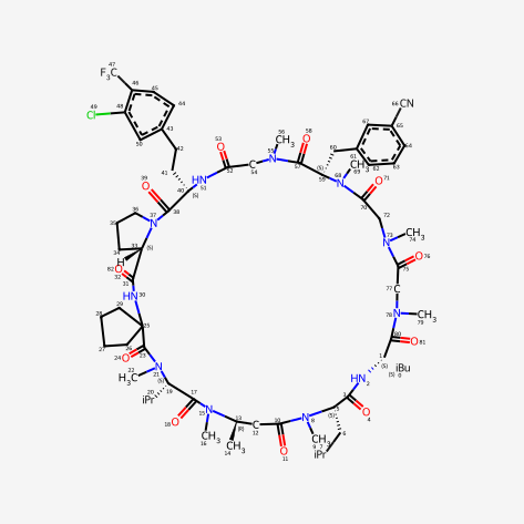 CC[C@H](C)[C@@H]1NC(=O)[C@H](CC(C)C)N(C)C(=O)C[C@@H](C)N(C)C(=O)[C@H](C(C)C)N(C)C(=O)C2(CCCC2)NC(=O)[C@@H]2CCCN2C(=O)[C@H](CCc2ccc(C(F)(F)F)c(Cl)c2)NC(=O)CN(C)C(=O)[C@H](Cc2cccc(C#N)c2)N(C)C(=O)CN(C)C(=O)CN(C)C1=O